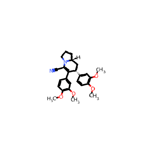 COc1ccc(C2=C(C#N)N3CCC[C@@H]3C[C@@H]2c2ccc(OC)c(OC)c2)cc1OC